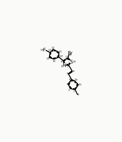 Cc1ccc(C=Cc2nc(-c3ccc(F)cc3)c(Br)s2)cc1